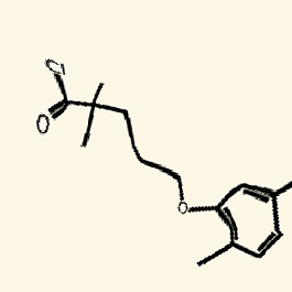 Cc1ccc(C)c(OCCCC(C)(C)C(=O)Cl)c1